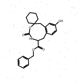 O=C1NC(C(=O)OCc2ccccc2)Cc2ccc(O)cc2CC2(CCCCC2)O1